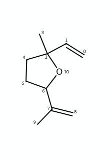 C=CC1(C)CCC(C(=C)C)O1